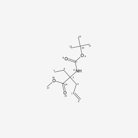 C=CCC(CC)(NC(=O)OC(C)(C)C)C(=O)OC